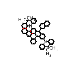 CC1(C)c2ccccc2N(c2ccc3c(-c4ccccc4-c4ccc5ccccc5c4)c4cc(N5c6ccccc6C(C)(C)c6ccccc65)ccc4c(-c4ccc5ccccc5c4)c3c2)c2ccccc21